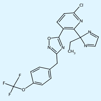 CCC1(c2nc(Cl)ccc2-c2nc(Cc3ccc(OC(F)(F)F)cc3)no2)N=CC=N1